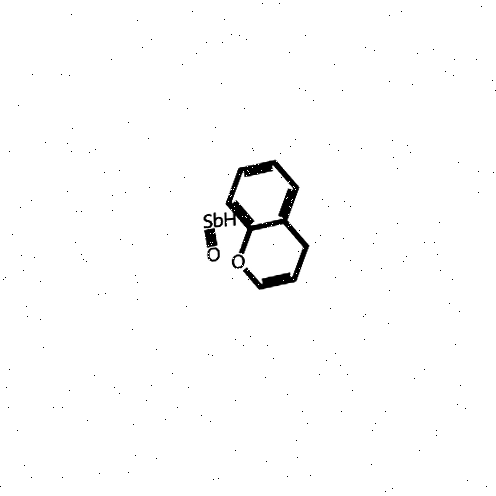 C1=COc2ccccc2C1.[O]=[SbH]